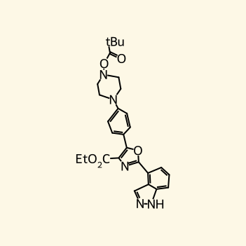 CCOC(=O)c1nc(-c2cccc3[nH]ncc23)oc1-c1ccc(N2CCN(OC(=O)C(C)(C)C)CC2)cc1